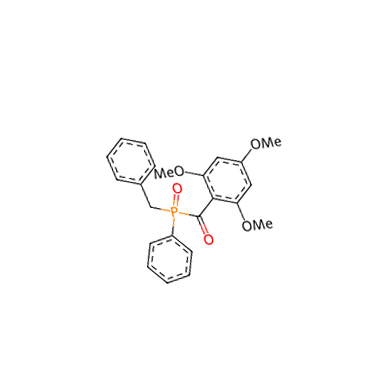 COc1cc(OC)c(C(=O)P(=O)(Cc2ccccc2)c2ccccc2)c(OC)c1